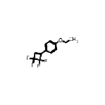 CCOc1ccc([C]2CC(F)(F)C2(F)F)cc1